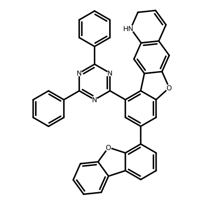 C1=Cc2cc3oc4cc(-c5cccc6c5oc5ccccc56)cc(-c5nc(-c6ccccc6)nc(-c6ccccc6)n5)c4c3cc2NC1